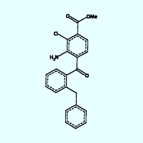 COC(=O)c1ccc(C(=O)c2ccccc2Cc2ccccc2)c(N)c1Cl